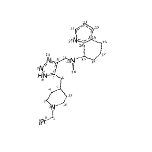 CC(C)CN1CCC(Cc2[nH]nnc2CN(C)C2CCCc3cccnc32)CC1